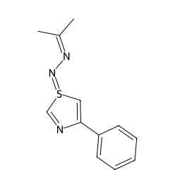 CC(C)=NN=S1C=NC(c2ccccc2)=C1